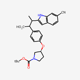 CC(c1cc2ccc(C#N)cc2[nH]1)C(C(=O)O)c1ccc(O[C@H]2CCN(C(=O)OC(C)(C)C)C2)cc1